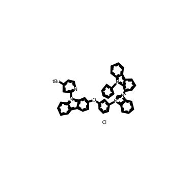 CC(C)(C)c1ccnc(-n2c3ccccc3c3ccc(Oc4cccc(-n5c[n+](-c6cccc7c8ccccc8n(-c8ccccc8)c67)c6ccccc65)c4)cc32)c1.[Cl-]